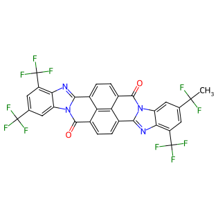 CC(F)(F)c1cc(C(F)(F)F)c2nc3c4ccc5c(=O)n6c7cc(C(F)(F)F)cc(C(F)(F)F)c7nc6c6ccc(c(=O)n3c2c1)c4c56